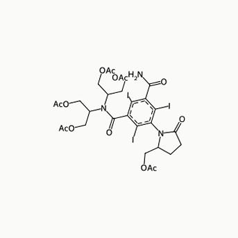 CC(=O)OCC1CCC(=O)N1c1c(I)c(C(N)=O)c(I)c(C(=O)N(C(COC(C)=O)COC(C)=O)C(COC(C)=O)COC(C)=O)c1I